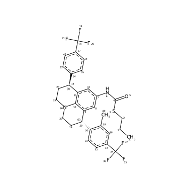 CCCSC(=O)Nc1cc2c3c(c1)[C@H](c1ccc(C(F)(F)F)cc1)CCN3CC[C@H]2c1ccc(C(F)(F)F)cc1C